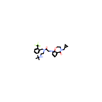 CC(C)(C)NCCN(Cc1ccccc1C(F)(F)F)C(=O)CNc1cccc2c1OCCN(CC1CC1)C2=O